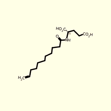 C=CCCCCCCCCC(=O)N[C@@H](CCC(=O)O)C(=O)O